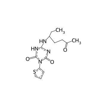 CCC(CCC(C)=O)Nc1nc(=O)n(-c2cccs2)c(=O)[nH]1